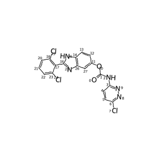 O=C(Nc1ccc(Cl)nn1)Oc1ccc2[nH]c(-c3c(Cl)cccc3Cl)nc2c1